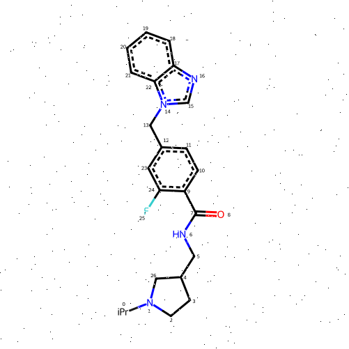 CC(C)N1CCC(CNC(=O)c2ccc(Cn3cnc4ccccc43)cc2F)C1